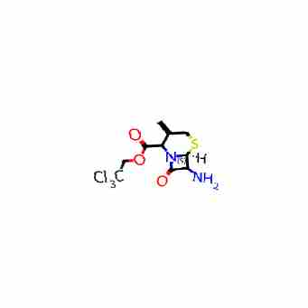 C=C1CS[C@H]2C(N)C(=O)N2C1C(=O)OCC(Cl)(Cl)Cl